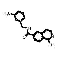 Cc1cccc(CNC(=O)c2ccc3c(C)nccc3c2)c1